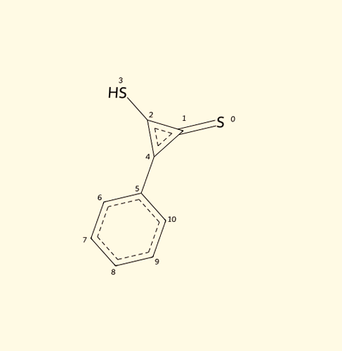 S=c1c(S)c1-c1ccccc1